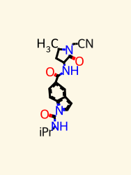 CC(C)NC(=O)n1ccc2cc(C(=O)NC3CC(C)N(CC#N)C3=O)ccc21